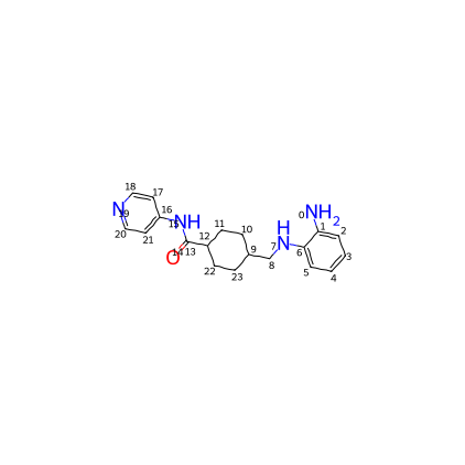 Nc1ccccc1NCC1CCC(C(=O)Nc2ccncc2)CC1